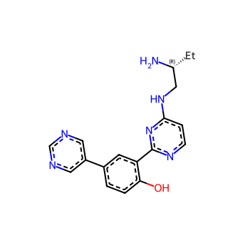 CC[C@@H](N)CNc1ccnc(-c2cc(-c3cncnc3)ccc2O)n1